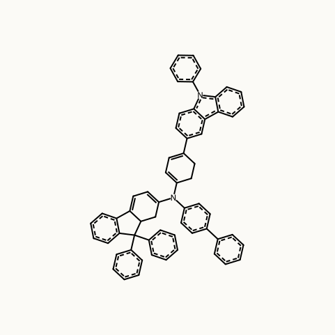 C1=C(c2ccc3c(c2)c2ccccc2n3-c2ccccc2)CCC(N(C2=CC=C3c4ccccc4C(c4ccccc4)(c4ccccc4)C3C2)c2ccc(-c3ccccc3)cc2)=C1